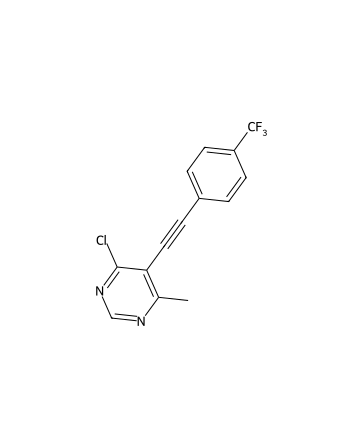 Cc1ncnc(Cl)c1C#Cc1ccc(C(F)(F)F)cc1